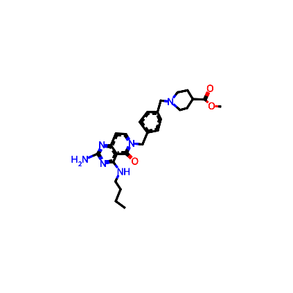 CCCCNc1nc(N)nc2ccn(Cc3ccc(CN4CCC(C(=O)OC)CC4)cc3)c(=O)c12